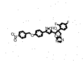 C[C@@H](c1cc(-c2ccc(OCc3ccc([N+](=O)[O-])cc3)cc2)no1)[C@](O)(Cn1cncn1)c1ccc(F)cc1F